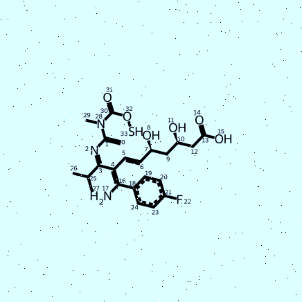 C=C(\N=C(C(/C=C/[C@@H](O)C[C@@H](O)CC(=O)O)=C(\N)c1ccc(F)cc1)\C(C)C)N(C)C(=O)OS